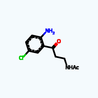 CC(=O)NCCC(=O)c1cc(Cl)ccc1N